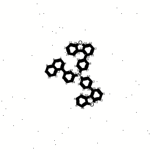 c1cc(-c2cccc3ccccc23)cc(N(c2ccc(-c3cccc4oc5ccccc5c34)cc2)c2ccc(-c3cccc4oc5ccccc5c34)cc2)c1